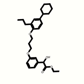 CCCc1cc(C2CCCCC2)ccc1OCCCOc1cccc(C(O)C(=O)OCC)c1